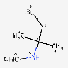 CC(C)(C)CC(C)(C)NC=O